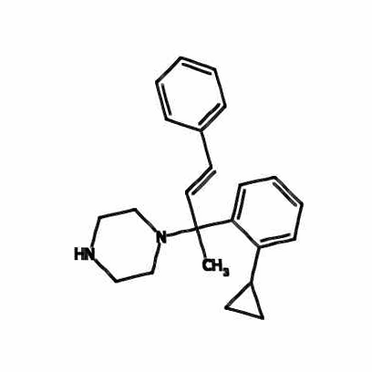 CC(C=Cc1ccccc1)(c1ccccc1C1CC1)N1CCNCC1